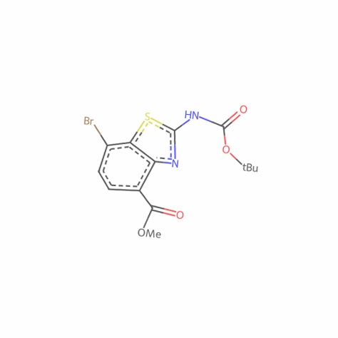 COC(=O)c1ccc(Br)c2sc(NC(=O)OC(C)(C)C)nc12